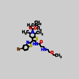 CCOCCNCCC(=O)Nc1sc2c(c1-c1nc3cc(Br)ccc3s1)CC(C)N(C(=O)OC(C)(C)C)C2C